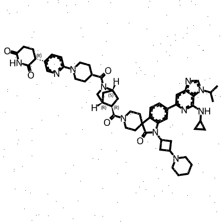 CC(C)n1cnc2cc(-c3ccc4c(c3)N(C3CC(N5CCCCC5)C3)C(=O)C43CCN(C(=O)[C@@H]4C[C@@H]5C[C@H]4CN5C(=O)C4CCN(c5ccc([C@H]6CCC(=O)NC6=O)cn5)CC4)CC3)nc(NC3CC3)c21